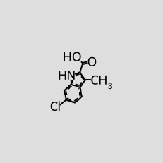 Cc1c(C(=O)O)[nH]c2cc(Cl)ccc12